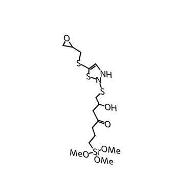 CO[Si](CCCC(=O)CC(O)CSN1NC=C(SCC2CO2)S1)(OC)OC